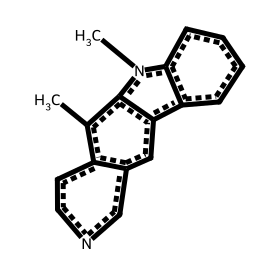 Cc1c2ccncc2cc2c3ccccc3n(C)c12